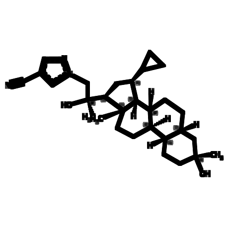 C[C@@]1(O)CC[C@H]2[C@H](CC[C@@H]3[C@@H]2CC[C@@]2(C)[C@H]3[C@H](C3CC3)C[C@@H]2[C@@](C)(O)Cn2cc(C#N)cn2)C1